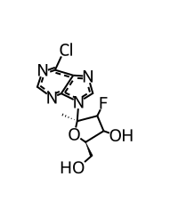 C[C@@]1(n2cnc3c(Cl)ncnc32)O[C@H](CO)C(O)C1F